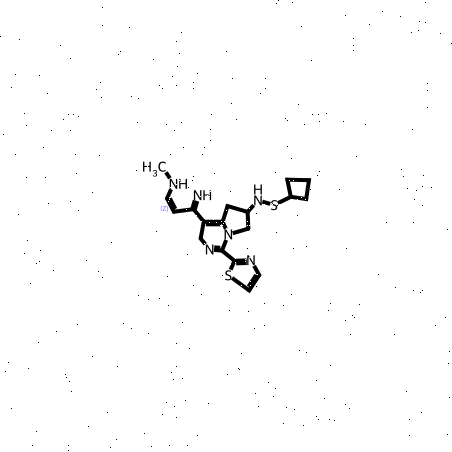 CN/C=C\C(=N)C1=C2CC(NSC3CCC3)CN2C(c2nccs2)=NC1